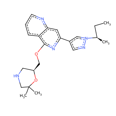 CC[C@@H](C)n1cc(-c2cc3ncccc3c(OC[C@@H]3CNCC(C)(C)O3)n2)cn1